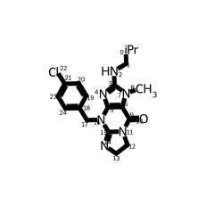 CC(C)CNc1nc2c(n1C)C(=O)N1CCN=C1N2Cc1ccc(Cl)cc1